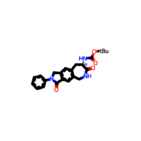 CC(C)(C)OC(=O)N[C@H]1Cc2cc3c(cc2CNC1=O)C(=O)N(c1ccccc1)C3